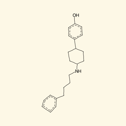 Oc1ccc(C2CCC(NCCCCc3ccccc3)CC2)cc1